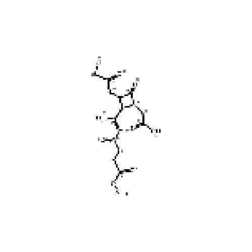 COC(=O)CC[S+]([O-])C=C(C)C1C(NC(=O)CCl)C(=O)N1CC(=O)O